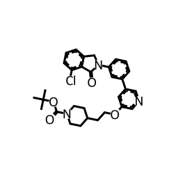 CC(C)(C)OC(=O)N1CCC(CCOc2cncc(-c3cccc(N4Cc5cccc(Cl)c5C4=O)c3)c2)CC1